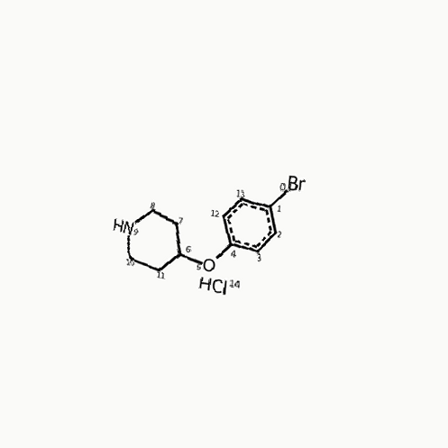 Brc1ccc(OC2CCNCC2)cc1.Cl